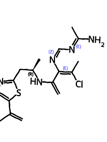 C=C(N[C@H](C)Cc1ncc(C(=C)C)s1)C(/N=C\N=C(/C)N)=C(/C)Cl